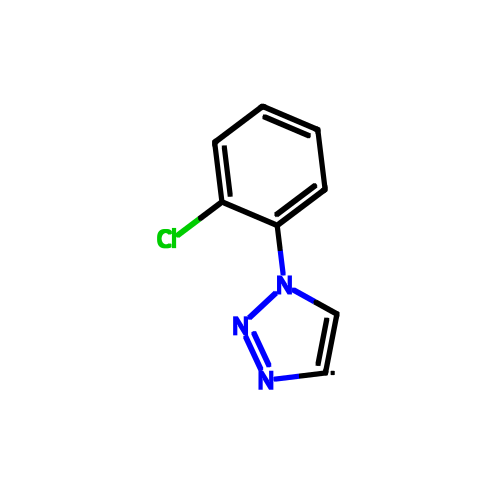 Clc1ccccc1-n1c[c]nn1